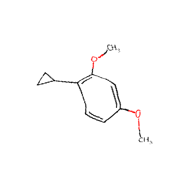 COc1ccc(C2CC2)c(OC)c1